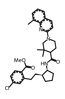 COC(=O)c1ccc(Cl)cc1CC[C@@H]1CCC[C@@H]1NC(=O)C1CCN(c2ccc3cccc(C)c3n2)CC1(C)C